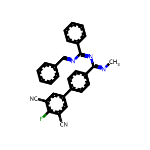 C\N=C(/N=C(\N=C\c1ccccc1)c1ccccc1)c1ccc(-c2cc(C#N)c(F)c(C#N)c2)cc1